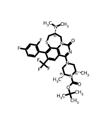 C[C@@H]1CN(c2nc(=O)n3c4c(c(-c5ccc(F)cc5F)c(C(F)(F)F)cc24)SC[C@H](N(C)C)C3)C[C@H](C)N1C(=O)OC(C)(C)C